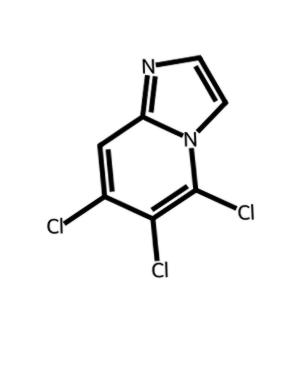 Clc1cc2nccn2c(Cl)c1Cl